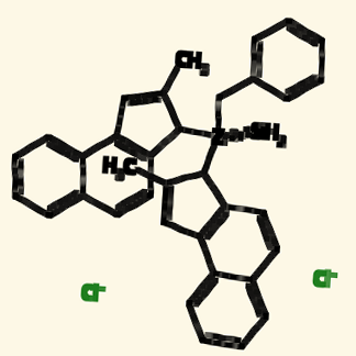 CC1=Cc2c(ccc3ccccc23)[CH]1[Zr+2](=[SiH2])([CH2]c1ccccc1)[CH]1C(C)=Cc2c1ccc1ccccc21.[Cl-].[Cl-]